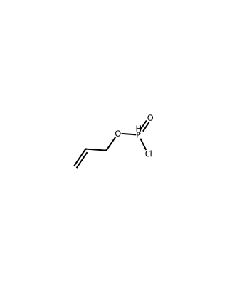 C=CCO[PH](=O)Cl